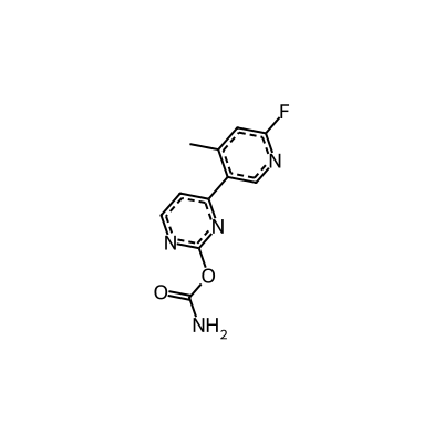 Cc1cc(F)ncc1-c1ccnc(OC(N)=O)n1